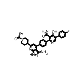 CC(C)C(=O)N1CCC(c2cc(-c3ccc(-c4ncc(-c5ccc(F)cc5)c(O)c4C(N)=O)cc3)c3c(N)n[nH]c3n2)CC1